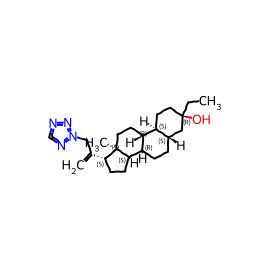 C=C(Cn1ncnn1)[C@H]1CC[C@H]2[C@@H]3CC[C@H]4C[C@@](O)(CC)CC[C@@H]4[C@H]3CC[C@]12C